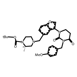 COc1ccc(CN2C(=O)CCN(c3coc4ccc(CN5CCN(C(=O)OC(C)(C)C)[C@@H](C)C5)cc34)C2=O)cc1